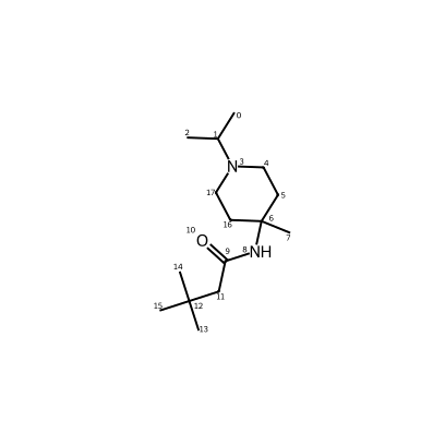 CC(C)N1CCC(C)(NC(=O)CC(C)(C)C)CC1